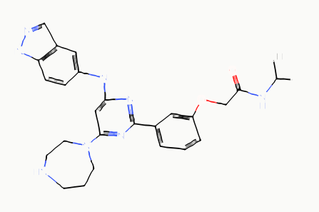 CC(C)NC(=O)COc1cccc(-c2nc(Nc3ccc4[nH]ncc4c3)cc(N3CCCNCC3)n2)c1